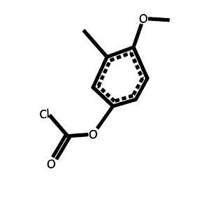 COc1ccc(OC(=O)Cl)cc1C